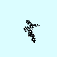 COc1ccc(N(Cc2cccnc2)c2ccc(S(=O)(=O)NC(=O)c3ccc(F)cc3)cc2)cc1OC1CCCO1